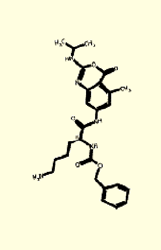 Cc1cc(NC(=O)[C@H](CCCCN)NC(=O)OCc2ccccc2)cc2nc(NC(C)C)oc(=O)c12